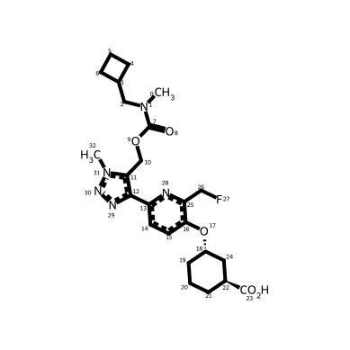 CN(CC1CCC1)C(=O)OCc1c(-c2ccc(O[C@H]3CCC[C@H](C(=O)O)C3)c(CF)n2)nnn1C